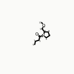 CCCC(=O)N1CCCC1COC